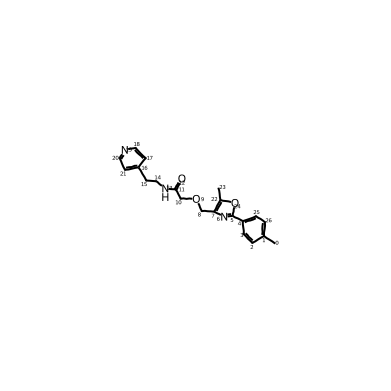 Cc1ccc(-c2nc(COCC(=O)NCCc3ccncc3)c(C)o2)cc1